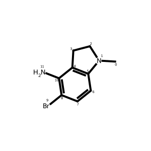 CN1CCc2c1ccc(Br)c2N